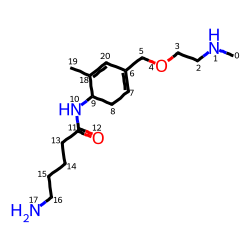 CNCCOCC1=CCC(NC(=O)CCCCN)C(C)=C1